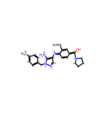 CC(=O)NC1=CC(=C(O)N2CCCC2)C=CC1=Nc1cnn(Cc2ccc(C)cc2)c1N